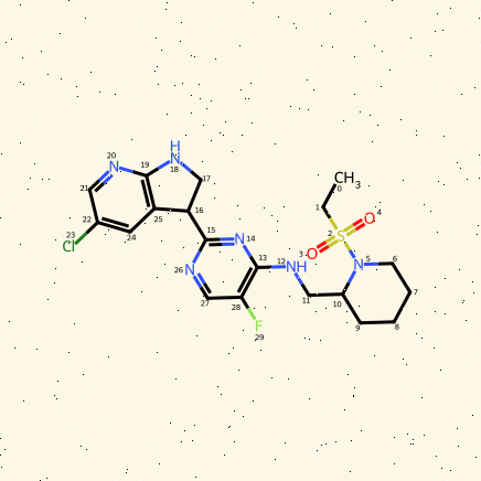 CCS(=O)(=O)N1CCCCC1CNc1nc(C2CNc3ncc(Cl)cc32)ncc1F